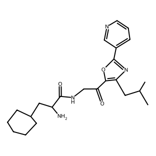 CC(C)Cc1nc(-c2cccnc2)oc1C(=O)CNC(=O)C(N)CC1CCCCC1